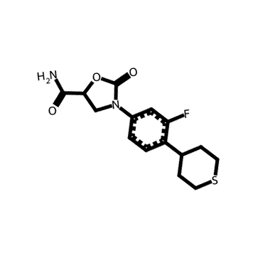 NC(=O)C1CN(c2ccc(C3CCSCC3)c(F)c2)C(=O)O1